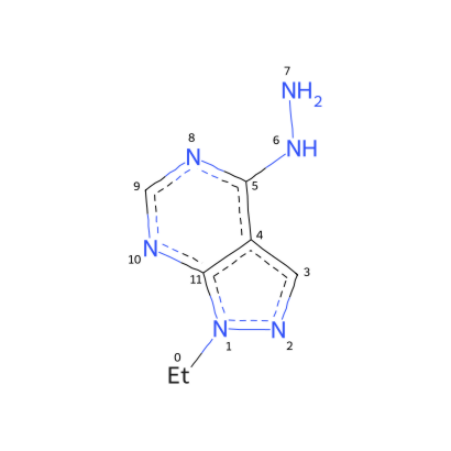 CCn1ncc2c(NN)ncnc21